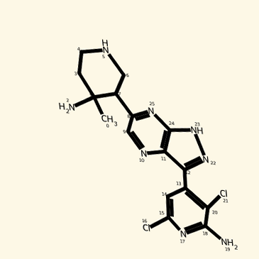 CC1(N)CCNCC1c1cnc2c(-c3cc(Cl)nc(N)c3Cl)n[nH]c2n1